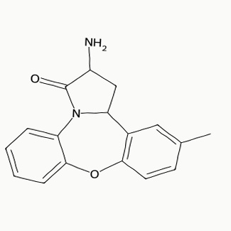 Cc1ccc2c(c1)C1CC(N)C(=O)N1c1ccccc1O2